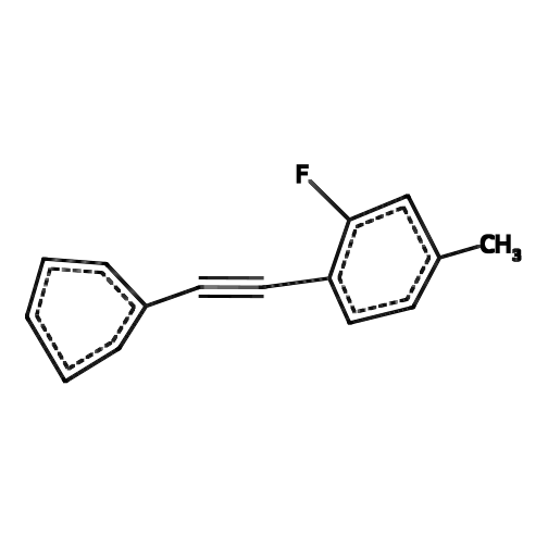 Cc1ccc(C#Cc2ccccc2)c(F)c1